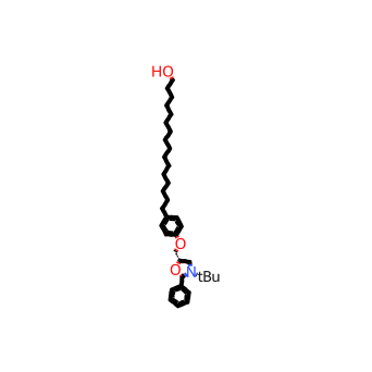 CC(C)(C)N1C[C@@H](COc2ccc(CCCCCCCCCCCCCCCCO)cc2)OC1c1ccccc1